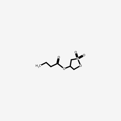 CCCC(=O)OC1COS(=O)(=O)C1